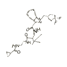 CC(C)(C)C(NC(=O)c1nn(CC2CCC(F)(F)CC2)c2ccccc12)C(=O)NCCNC(=O)C1CC1